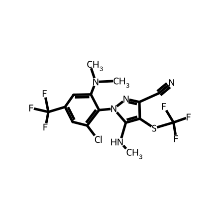 CNc1c(SC(F)(F)F)c(C#N)nn1-c1c(Cl)cc(C(F)(F)F)cc1N(C)C